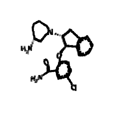 NC(=O)c1cc(Cl)ccc1O[C@@H]1c2ccccc2C[C@H]1N1CCC[C@@H](N)C1